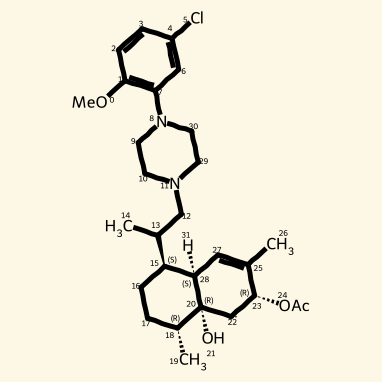 COc1ccc(Cl)cc1N1CCN(CC(C)[C@@H]2CC[C@@H](C)[C@]3(O)[CH][C@@H](OC(C)=O)C(C)=C[C@H]23)CC1